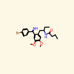 CCCC(=O)NC(CC)Cc1cc(OC)c(OC)cc1C(=N)c1ccc(Br)cc1